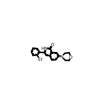 CCc1ccccc1-c1cc2ccc(N3CCOCC3)cc2c(=O)[nH]1